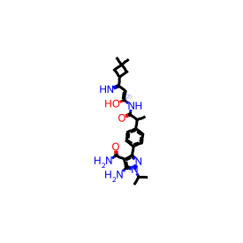 CC(C(=O)N/C(O)=C/C(=N)C1CC(C)(C)C1)c1ccc(-c2nn(C(C)C)c(N)c2C(N)=O)cc1